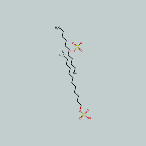 CCCCCCCCCCCCOS(=O)(=O)O.CCCCCCCCC[CH2][Na].O=S(=O)([O-])O.[Li+]